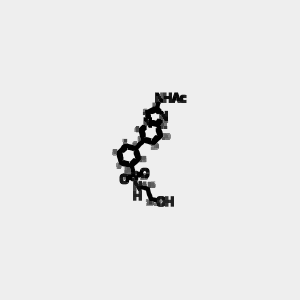 CC(=O)Nc1cn2cc(-c3cccc(S(=O)(=O)NCCO)c3)ccc2n1